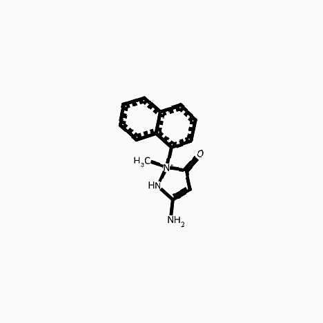 C[N+]1(c2cccc3ccccc23)NC(N)=CC1=O